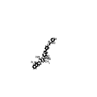 Cc1nc(N2CCC3(CC2)Cc2ccccc2[C@H]3N)c(CO)nc1Sc1ccn2cc(-c3ccc(OCC(=O)NC4CCNCC4)cc3)nc2c1Cl.Cl.Cl